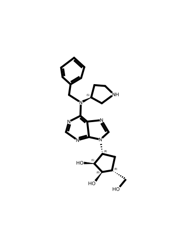 OC[C@H]1C[C@@H](n2cnc3c(N(Cc4ccccc4)[C@H]4CCNC4)ncnc32)[C@H](O)[C@@H]1O